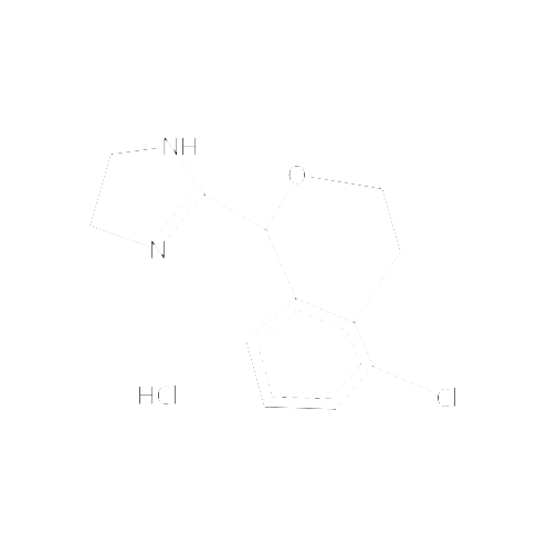 Cl.Clc1cccc2c1CCOC2C1=NCCN1